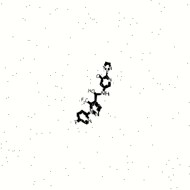 OC(Nc1cnc(-n2nccn2)c(Cl)c1)c1cnn(-c2ccc(F)cn2)c1C(F)(F)F